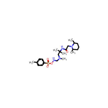 Cc1ccc(S(=O)(=O)ONCN(C)CC(C)(C)NC(=O)CN2C(C)CCCC2C)cc1